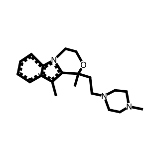 Cc1c2n(c3ccccc13)CCOC2(C)CCN1CCN(C)CC1